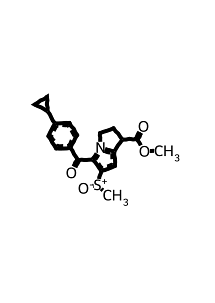 COC(=O)C1CCn2c1cc([S+](C)[O-])c2C(=O)c1ccc(C2CC2)cc1